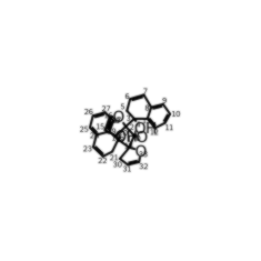 O=C(C1(C2(O)CC=Cc3ccccc32)CC=CO1)C1(C2(O)CC=Cc3ccccc32)CC=CO1